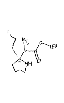 CC(C)(C)OC(=O)N(N)[C@]1(CCF)CCCN1